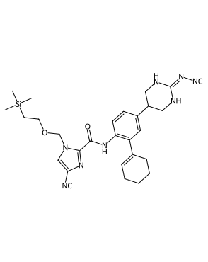 [C-]#[N+]N=C1NCC(c2ccc(NC(=O)c3nc([N+]#[C-])cn3COCC[Si](C)(C)C)c(C3=CCCCC3)c2)CN1